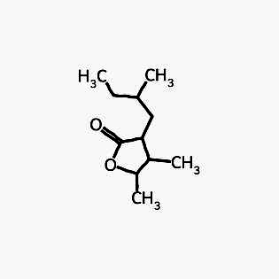 CCC(C)CC1C(=O)OC(C)C1C